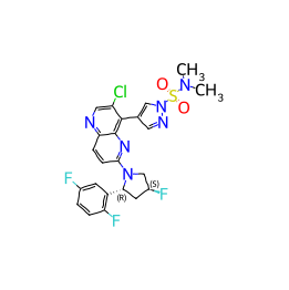 CN(C)S(=O)(=O)n1cc(-c2c(Cl)cnc3ccc(N4C[C@@H](F)C[C@@H]4c4cc(F)ccc4F)nc23)cn1